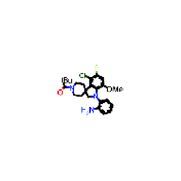 COc1cc(F)c(Cl)c2c1N(c1ccccc1N)CC21CCN(C(=O)C(C)(C)C)CC1